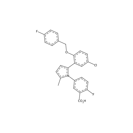 Cc1ccc(-c2cc(Cl)ccc2OCc2ccc(F)cc2)n1-c1ccc(F)c(C(=O)O)c1